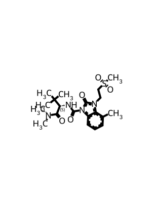 Cc1cccc2c1n(CCS(C)(=O)=O)c(=O)n2C(=O)N[C@H](C(=O)N(C)C)C(C)(C)C